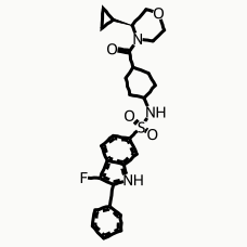 O=C(C1CCC(NS(=O)(=O)c2ccc3c(F)c(-c4ccccc4)[nH]c3c2)CC1)N1CCOC[C@@H]1C1CC1